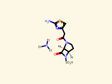 CCN(CC)CC.Nc1nc(CC(=O)N2CC[C@@H]3[C@H]2C(=O)N3S(=O)(=O)O)cs1